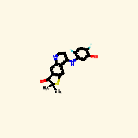 CC1(C)Sc2cc3c(Nc4cc(O)c(F)cc4F)ccnc3cc2C1=O